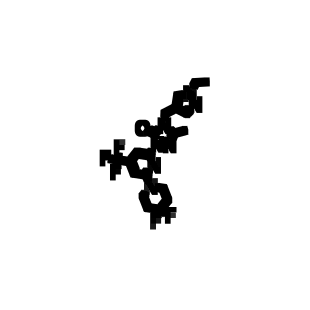 CCn1cc(Cn2c(C)nn(-c3cc(C(F)(F)F)cc(N4CCC(F)(F)CC4)n3)c2=O)cn1